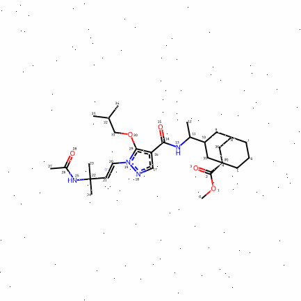 COC(=O)[C@@]12CCCC(CC(C(C)NC(=O)c3cnn(/C=C/C(C)(C)NC(C)=O)c3OCC(C)C)C1)C2